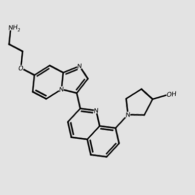 NCCOc1ccn2c(-c3ccc4cccc(N5CCC(O)C5)c4n3)cnc2c1